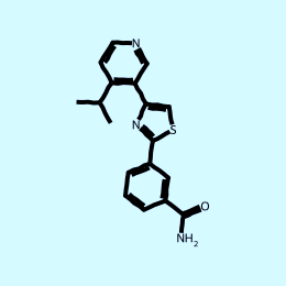 CC(C)c1ccncc1-c1csc(-c2cccc(C(N)=O)c2)n1